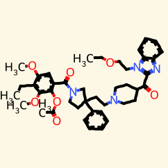 CCOCCn1c(C(=O)C2CCN(CCC3(c4ccccc4)CCN(C(=O)c4cc(OC)c(CC)c(OC)c4OC(C)=O)C3)CC2)nc2ccccc21